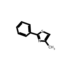 Cc1csc(-c2ccccc2)n1